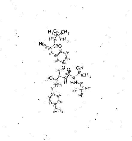 Cc1ccc(CNC(=O)C(COc2cccc(C=C(C#N)C(=O)NC(C)(C)C)c2)NC(=O)C(NCC(F)(F)F)C(C)O)cc1